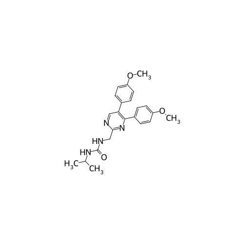 COc1ccc(-c2cnc(CNC(=O)NC(C)C)nc2-c2ccc(OC)cc2)cc1